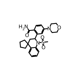 CS(=O)(=O)N1c2ccccc2C2(CCCC2)CC1c1cc(N2CCOCC2)ccc1C(N)=O